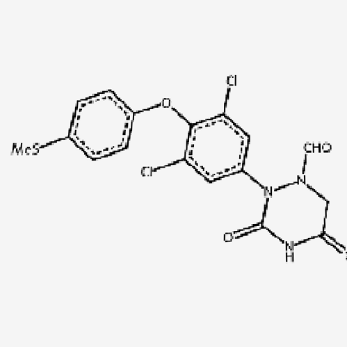 CSc1ccc(Oc2c(Cl)cc(N3C(=O)NC(=O)CN3C=O)cc2Cl)cc1